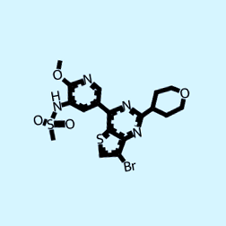 COc1ncc(-c2nc(C3CCOCC3)nc3c(Br)csc23)cc1NS(C)(=O)=O